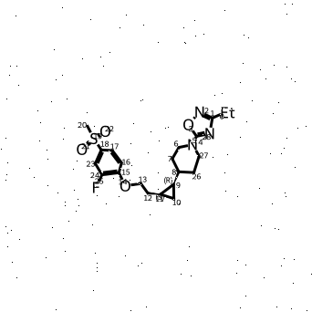 CCc1noc(N2CCC([C@H]3C[C@H]3CCOc3ccc(S(C)(=O)=O)cc3F)CC2)n1